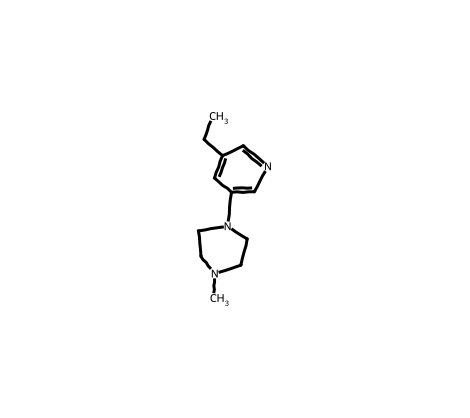 CCc1cncc(N2CCN(C)CC2)c1